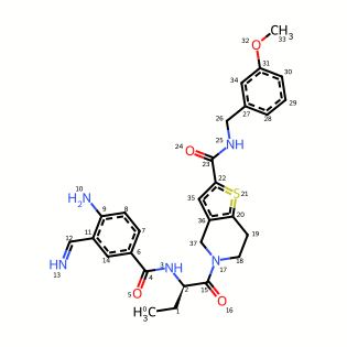 CC[C@@H](NC(=O)c1ccc(N)c(C=N)c1)C(=O)N1CCc2sc(C(=O)NCc3cccc(OC)c3)cc2C1